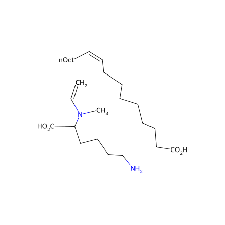 C=CN(C)C(CCCCN)C(=O)O.CCCCCCCC/C=C\CCCCCCCC(=O)O